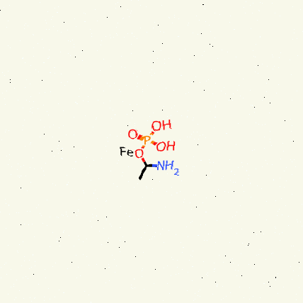 CC(N)OP(=O)(O)O.[Fe]